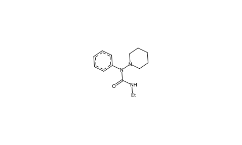 CCNC(=O)N(c1ccccc1)N1CCCCC1